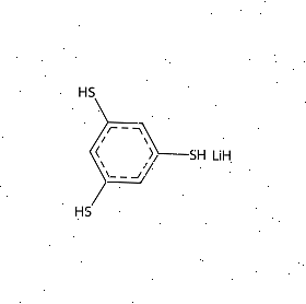 Sc1cc(S)cc(S)c1.[LiH]